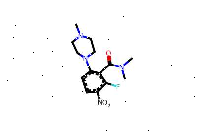 CN1CCN(c2ccc([N+](=O)[O-])c(F)c2C(=O)N(C)C)CC1